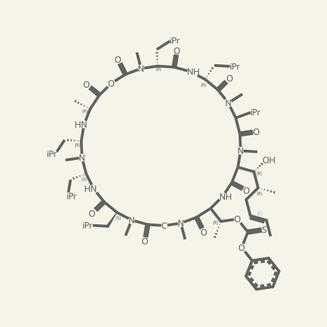 C/C=C/C[C@@H](C)[C@@H](O)C1C(=O)NC([C@@H](C)OC(=S)Oc2ccccc2)C(=O)N(C)CC(=O)N(C)[C@@H](CC(C)C)C(=O)N[C@H](CC(C)C)N(C)[C@H](CC(C)C)N[C@H](C)C(=O)OC(=O)N(C)[C@H](CC(C)C)C(=O)N[C@H](CC(C)C)C(=O)N(C)C(C(C)C)C(=O)N1C